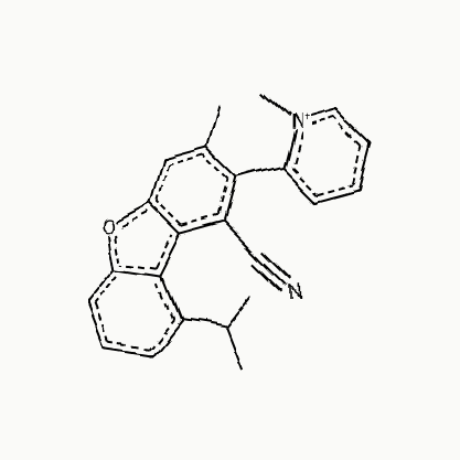 Cc1cc2oc3cccc(C(C)C)c3c2c(C#N)c1-c1cccc[n+]1C